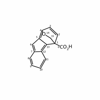 O=C(O)C12C=CC(=C3C=c4ccccc4=C31)OC2